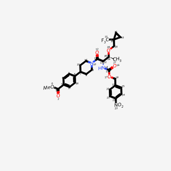 COC(=O)c1ccc(C2CCN(C(=O)[C@@H](NC(=O)OCc3ccc([N+](=O)[O-])cc3)[C@@H](C)OCC3(C(F)(F)F)CC3)CC2)cc1